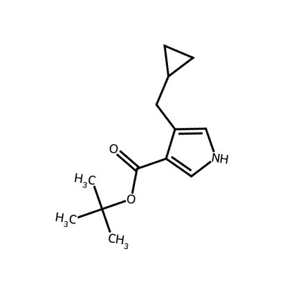 CC(C)(C)OC(=O)c1c[nH]cc1CC1CC1